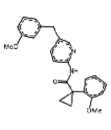 COc1cccc(Cc2ccc(NC(=O)C3(c4ccccc4OC)CC3)nc2)c1